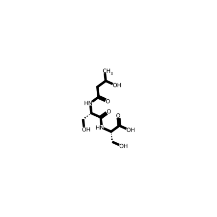 CC(O)CC(=O)N[C@@H](CO)C(=O)N[C@@H](CO)C(=O)O